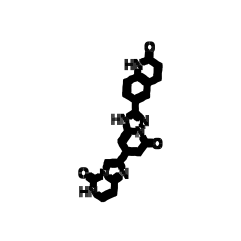 O=c1ccc2cc(-c3nn4c(=O)cc(-c5cn6c(=O)[nH]ccc6n5)cc4[nH]3)ccc2[nH]1